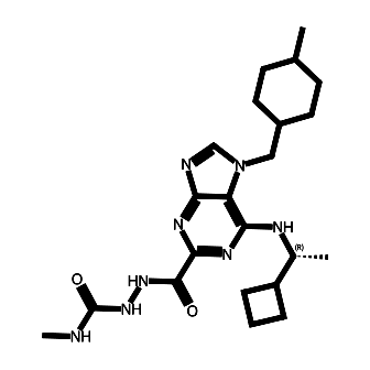 CNC(=O)NNC(=O)c1nc(N[C@H](C)C2CCC2)c2c(ncn2CC2CCC(C)CC2)n1